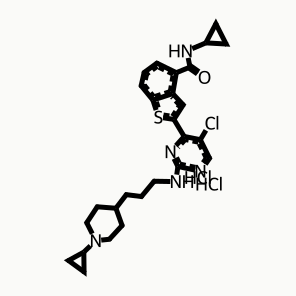 Cl.Cl.O=C(NC1CC1)c1cccc2sc(-c3nc(NCCCC4CCN(C5CC5)CC4)ncc3Cl)cc12